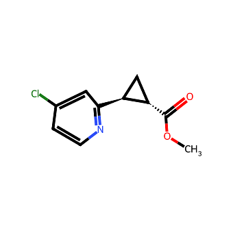 COC(=O)[C@H]1C[C@@H]1c1cc(Cl)ccn1